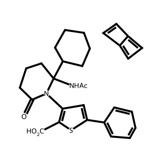 CC(=O)NC1(C2CCCCC2)CCCC(=O)N1c1cc(-c2ccccc2)sc1C(=O)O.c1cc2ccc1-2